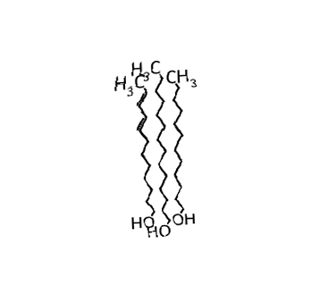 CC=CC=CCCCCCCCO.CCCCCCCCCCCCCCO.CCCCCCCCCCCCO